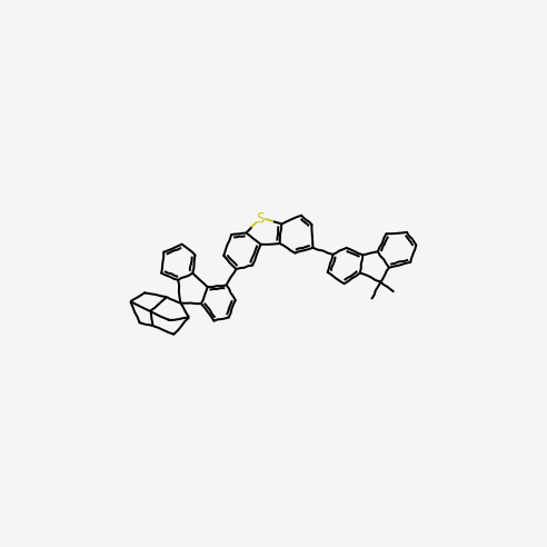 CC1(C)c2ccccc2-c2cc(-c3ccc4sc5ccc(-c6cccc7c6-c6ccccc6C76C7CC8CC(C7)CC6C8)cc5c4c3)ccc21